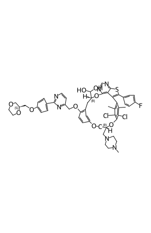 Cc1c(Cl)c2c(Cl)c(C)c1-c1c(-c3ccc(F)cc3)sc3ncnc(c13)O[C@@H](C(O)O)Cc1cc(ccc1OCc1ccnc(-c3ccc(OC[C@@H]4COCCO4)cc3)n1)OC[C@@H](CN1CCN(C)CC1)O2